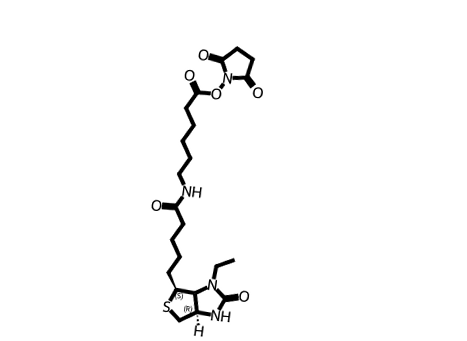 CCN1C(=O)N[C@H]2CS[C@@H](CCCCC(=O)NCCCCCC(=O)ON3C(=O)CCC3=O)C21